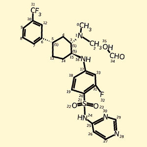 CN(C)[C@H]1C[C@@H](c2cccc(C(F)(F)F)c2)CC[C@@H]1Nc1ccc(S(=O)(=O)Nc2ccncn2)c(F)c1.O=CO